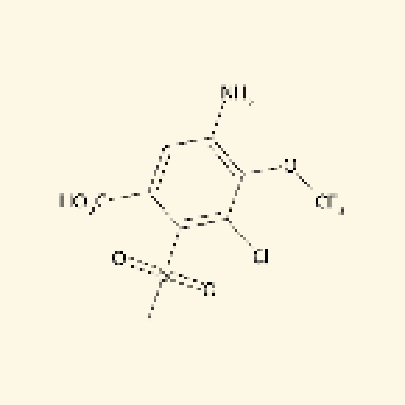 CS(=O)(=O)c1c(C(=O)O)cc(N)c(OC(F)(F)F)c1Cl